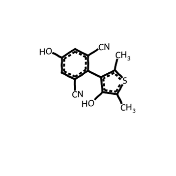 Cc1sc(C)c(-c2c(C#N)cc(O)cc2C#N)c1O